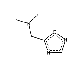 CN(C)Cc1ncno1